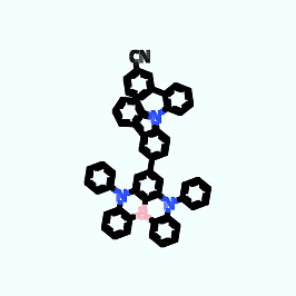 N#Cc1cccc(-c2ccccc2-n2c3ccccc3c3cc(-c4cc5c6c(c4)N(c4ccccc4)c4ccccc4B6c4ccccc4N5c4ccccc4)ccc32)c1